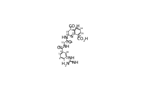 N=C(N)Nc1cccc(C(=O)NCC(=O)NC(CCC(=O)O)Sc2ccccc2C(=O)O)c1